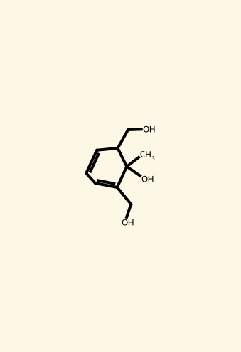 CC1(O)C(CO)=CC=CC1CO